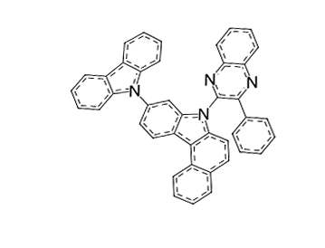 c1ccc(-c2nc3ccccc3nc2-n2c3cc(-n4c5ccccc5c5ccccc54)ccc3c3c4ccccc4ccc32)cc1